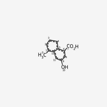 Cc1cccc2c(C(=O)O)cc(O)cc12